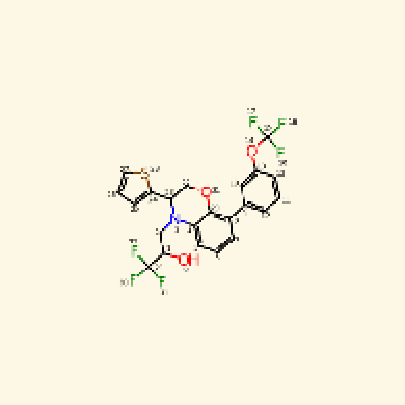 OC(CN1c2cccc(-c3cccc(OC(F)(F)F)c3)c2OCC1c1cccs1)C(F)(F)F